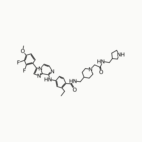 CCc1cc(Nc2nccn3c(-c4ccc(OC)c(F)c4F)cnc23)ccc1C(=O)NCC1CCN(CC(=O)NCC2CCNC2)CC1